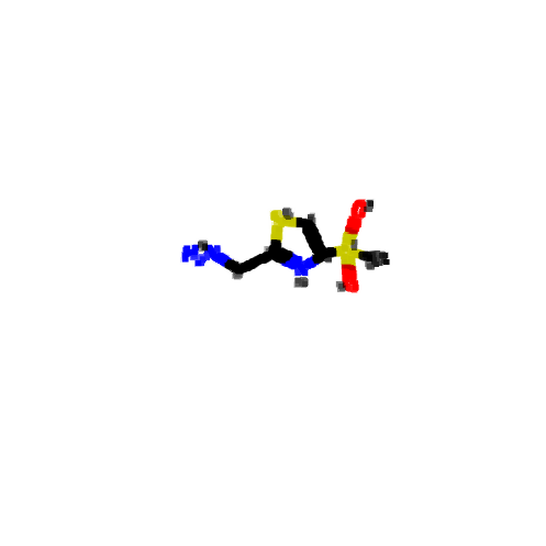 CCS(=O)(=O)c1csc(CN)n1